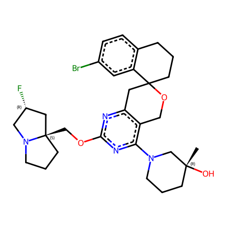 C[C@@]1(O)CCCN(c2nc(OC[C@@]34CCCN3C[C@H](F)C4)nc3c2COC2(CCCc4ccc(Br)cc42)C3)C1